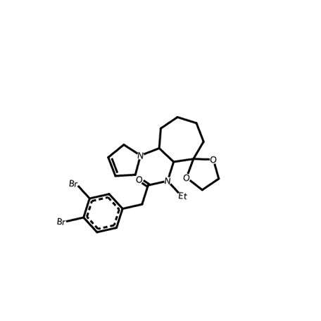 CCN(C(=O)Cc1ccc(Br)c(Br)c1)C1C(N2CC=CC2)CCCCC12OCCO2